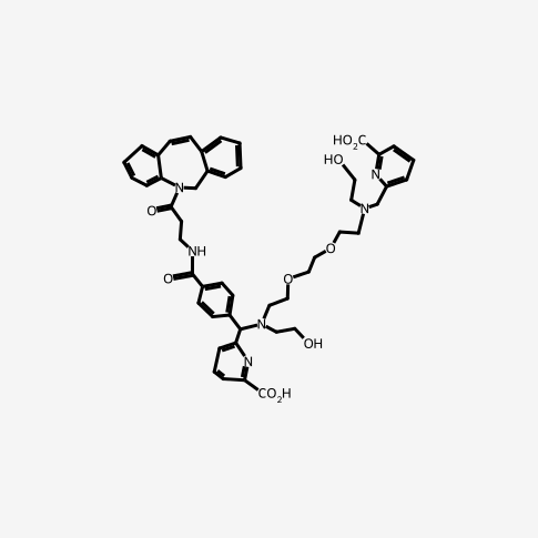 O=C(NCCC(=O)N1Cc2ccccc2/C=C\c2ccccc21)c1ccc(C(c2cccc(C(=O)O)n2)N(CCO)CCOCCOCCN(CCO)Cc2cccc(C(=O)O)n2)cc1